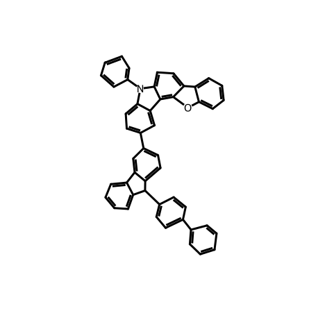 c1ccc(-c2ccc(C3c4ccccc4-c4cc(-c5ccc6c(c5)c5c7oc8ccccc8c7ccc5n6-c5ccccc5)ccc43)cc2)cc1